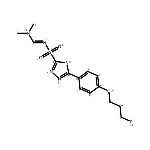 CN(C)C=NS(=O)(=O)c1nnc(-c2ccc(OCCCCl)cc2)s1